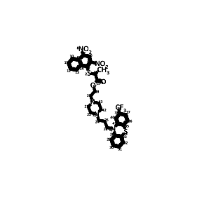 CC(Sc1c([N+](=O)[O-])cc([N+](=O)[O-])c2ccccc12)C(=O)OCCN1CCN(CCCN2c3ccccc3Sc3ccc(C(F)(F)F)cc32)CC1